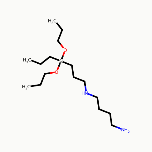 CCCO[Si](CCC)(CCCNCCCCN)OCCC